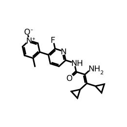 Cc1cc[n+]([O-])cc1-c1ccc(NC(=O)C(N)=C(C2CC2)C2CC2)nc1F